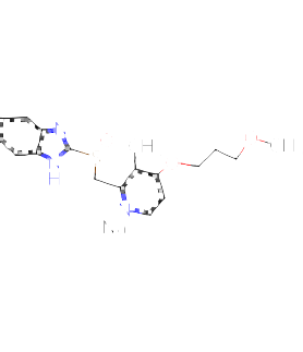 COCCCOc1ccnc(C[S+]([O-])c2nc3ccccc3[nH]2)c1C.[Na]